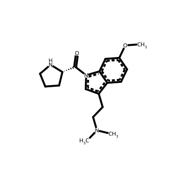 COc1ccc2c(CCN(C)C)cn(C(=O)[C@@H]3CCCN3)c2c1